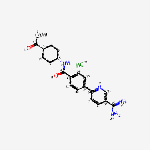 COC(=O)[C@H]1CC[C@H](NC(=O)c2ccc(-c3ccc(C(=N)N)cn3)cc2)CC1.Cl